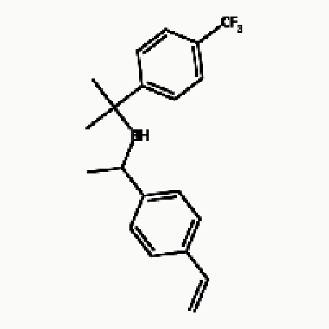 C=Cc1ccc(C(C)BC(C)(C)c2ccc(C(F)(F)F)cc2)cc1